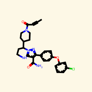 CC#CC(=O)N1CCC(C2CCNc3c(C(N)=O)c(-c4ccc(Oc5cccc(Cl)c5)cc4)nn32)CC1